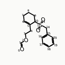 O=COCCC1=CCCCC1S(=O)(=O)Cc1ccccc1